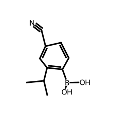 CC(C)c1cc(C#N)ccc1B(O)O